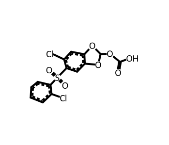 O=C(O)OC1Oc2cc(Cl)c(S(=O)(=O)c3ccccc3Cl)cc2O1